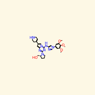 COc1cc(-n2cnc(Nc3nc(N4CCC[C@H]4CO)nc4cc(C5=CCNCC5)cn34)c2)cc(OC)c1OC